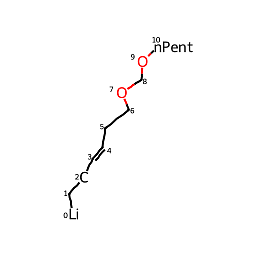 [Li][CH2]C/C=C/CCOCOCCCCC